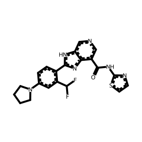 O=C(Nc1nccs1)c1cncc2[nH]c(-c3ccc(N4CCCC4)cc3C(F)F)nc12